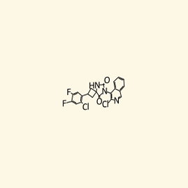 O=C1NC2(CC(c3cc(F)c(F)cc3Cl)C2)C(=O)N1c1c(Cl)ncc2ccccc12